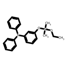 CCO[N+](C)(C)Oc1cccc(N(c2ccccc2)c2ccccc2)c1